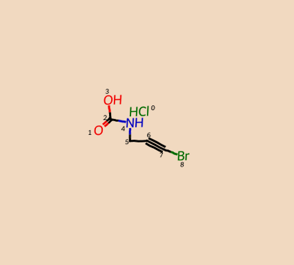 Cl.O=C(O)NCC#CBr